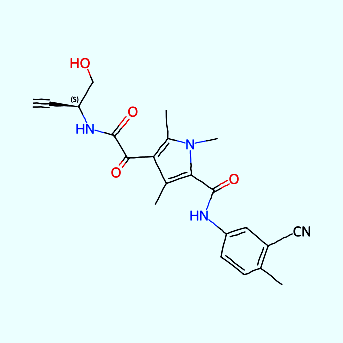 C#C[C@@H](CO)NC(=O)C(=O)c1c(C)c(C(=O)Nc2ccc(C)c(C#N)c2)n(C)c1C